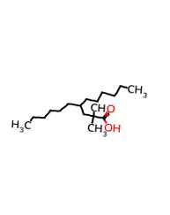 CCCCCCC(CCCCCC)CC(C)(C)C(=O)O